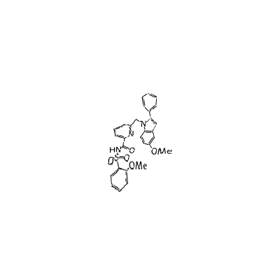 COc1ccc2c(c1)cc(-c1ccccc1)n2Cc1cccc(C(=O)NS(=O)(=O)c2ccccc2OC)n1